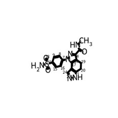 CNC(=O)c1nn(-c2ccc(S(N)(=O)=O)cc2)c2c1CCc1[nH]ncc1-2